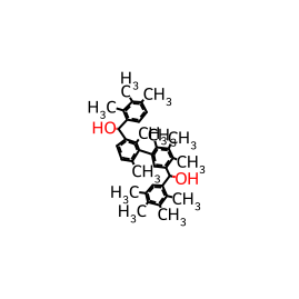 Cc1ccc(C(O)c2ccc(C)c(-c3cc(C(O)c4cc(C)c(C)c(C)c4C)c(C)c(C)c3C)c2C)c(C)c1C